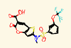 CN(c1cc2oc(=O)c(C(=O)O)cc2s1)S(=O)(=O)c1cccc(OC(F)(F)F)c1